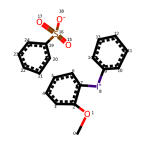 COc1ccccc1[I+]c1ccccc1.O=S(=O)([O-])c1ccccc1